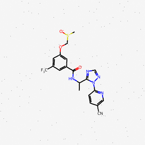 CC(NC(=O)c1cc(OC[S+](C)[O-])cc(C(F)(F)F)c1)c1ncnn1-c1ccc(C#N)cn1